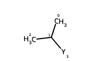 C[CH](C)[Y]